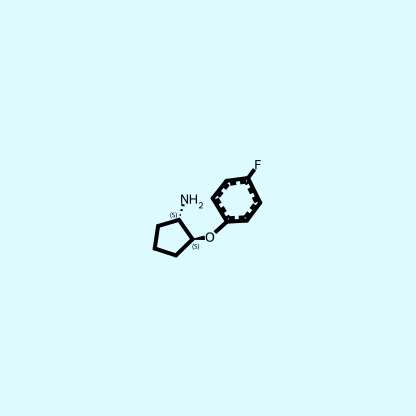 N[C@H]1CCC[C@@H]1Oc1ccc(F)cc1